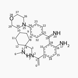 C=C(NCC1(N(C)C)CCCCC1)c1ccc(N)c(C(=N)c2ccc(N3CCOCC3)cc2)c1